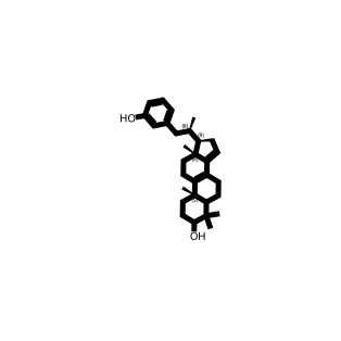 C[C@H](Cc1cccc(O)c1)[C@H]1CC=C2C3=C(CC[C@@]21C)[C@@]1(C)CCC(O)C(C)(C)C1CC3